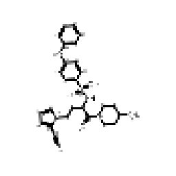 CC1CCN(C(=O)C(CCn2cccc2C#N)NS(=O)(=O)c2ccc(Oc3ccccc3)cc2)CC1